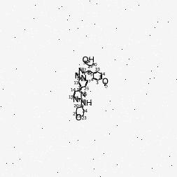 COc1ccc([C@H](c2nnc3cc(-c4ccnc(NC5CCOCC5)n4)ccn23)C(C)CO)cc1